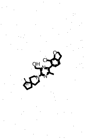 Cc1nc(N2CCC3(CCC[C@H]3C)CC2)c(CO)nc1-c1ccc2c(c1Cl)OCC2